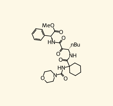 CCCC[C@H](NC(=O)C1(NC(=O)N2CCOCC2)CCCCC1)C(=O)C(=O)N[C@H](C(=O)OC)c1ccccc1